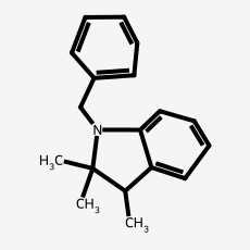 CC1c2ccccc2N(Cc2ccccc2)C1(C)C